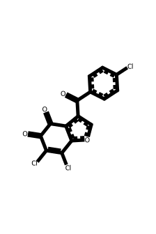 O=C1C(=O)c2c(C(=O)c3ccc(Cl)cc3)coc2C(Cl)=C1Cl